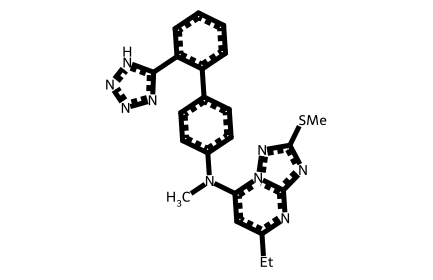 CCc1cc(N(C)c2ccc(-c3ccccc3-c3nnn[nH]3)cc2)n2nc(SC)nc2n1